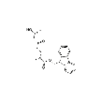 CN(CCC(=O)CC(=O)O)C(=O)OCC1c2ccccc2-c2ccccc21